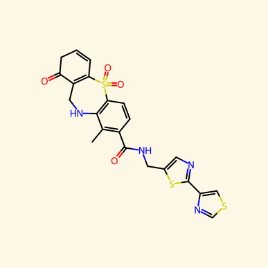 Cc1c(C(=O)NCc2cnc(-c3cscn3)s2)ccc2c1NCC1=C(C=CCC1=O)S2(=O)=O